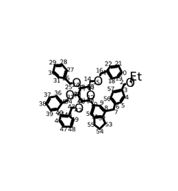 CCOCc1ccc(Cc2cc([C@@H]3O[C@H](COCc4ccccc4)[C@@H](OCc4ccccc4)[C@H](OCc4ccccc4)[C@H]3OCc3ccccc3)cc3c2CCC3)cc1